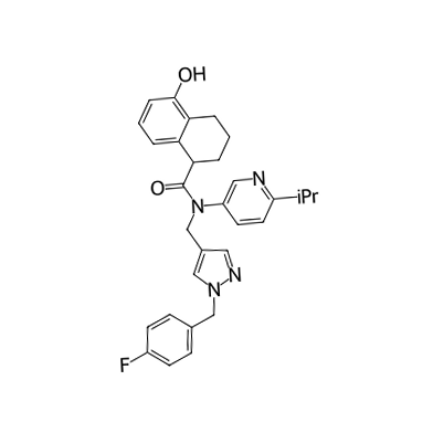 CC(C)c1ccc(N(Cc2cnn(Cc3ccc(F)cc3)c2)C(=O)C2CCCc3c(O)cccc32)cn1